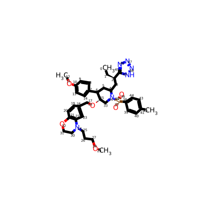 CC[C@H](CC1CC(c2ccc(OC)cc2)[C@@H](OCc2ccc3c(c2)N(CCCOC)CCO3)CN1S(=O)(=O)c1ccc(C)cc1)c1nnn[nH]1